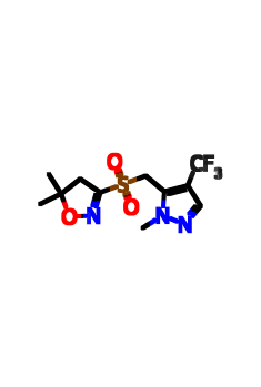 Cn1ncc(C(F)(F)F)c1CS(=O)(=O)C1=NOC(C)(C)C1